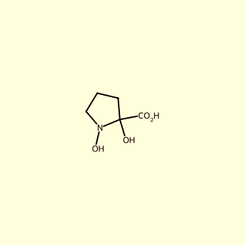 O=C(O)C1(O)CCCN1O